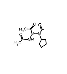 CC(=O)NN(C(C)=O)N([C]=O)C1CCCC1